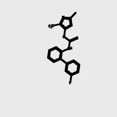 Cn1cc(OC(=O)Nc2ccccc2-c2cccc(F)c2)c(C(F)(F)F)n1